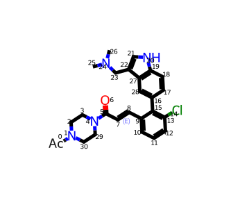 CC(=O)N1CCN(C(=O)/C=C/c2cc[c]c(Cl)c2-c2ccc3[nH]cc(CN(C)C)c3c2)CC1